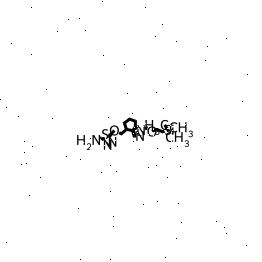 C[Si](C)(C)CCOCn1ncc2c1CCCC2COc1nnc(N)s1